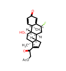 CC(=O)OCC(=O)C1=CC[C@H]2[C@@H]3C[C@H](F)C4=CC(=O)C=C[C@]4(C)[C@H]3[C@@H](O)C[C@]12C